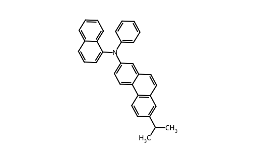 CC(C)c1ccc2c(ccc3cc(N(c4ccccc4)c4cccc5ccccc45)ccc32)c1